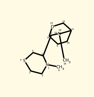 CN1CCSCC1C1C2CCC(CO2)CN1C